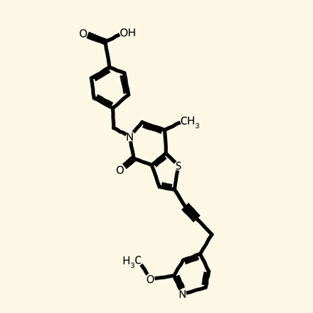 COc1cc(CC#Cc2cc3c(=O)n(Cc4ccc(C(=O)O)cc4)cc(C)c3s2)ccn1